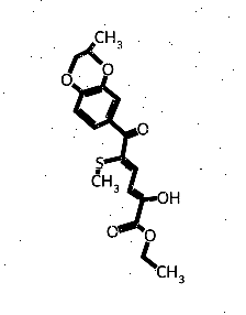 CCOC(=O)C(O)=CC=C(SC)C(=O)c1ccc2c(c1)OC(C)CO2